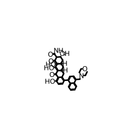 NC(=O)C1C(=O)[C@@]2(O)C(O)=C3C(=O)c4c(O)ccc(-c5ccc(CN6CCOCC6)c6ccccc56)c4C[C@H]3C[C@H]2CC1O